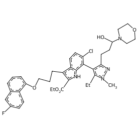 CCOC(=O)c1[nH]c2c(-c3c(CCC(O)N4CCOCC4)nn(C)c3CC)c(Cl)ccc2c1CCCOc1cccc2cc(F)ccc12